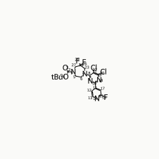 CC(C)(C)OC(=O)N1CCN(c2nc(-c3ccnc(F)c3)nc(Cl)c2Cl)CC(F)(F)C1